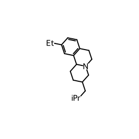 CCc1ccc2c(c1)C1CCC(CC(C)C)CN1CC2